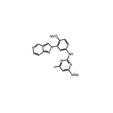 CNc1cc(C)nc(Nc2ccc(OC)c(-n3cc4cnccc4n3)c2)n1